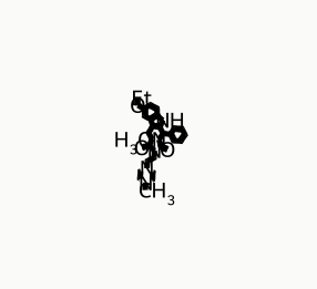 CCOc1ccc2[nH]c3c(c2c1)CC1(C)C(=O)N(CCN2CCN(C)CC2)C(=O)N1C3c1ccccc1